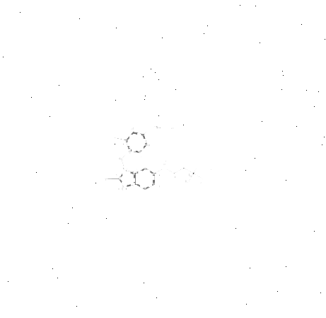 CCCCCOc1ccc(Cn2c(C)nc3ccc(OCCC(C)(C)C(=O)OCC)cc32)c(Cl)c1